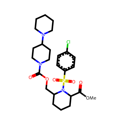 COC(=O)C1CCCC(COC(=O)N2CCC(N3CCCCC3)CC2)N1S(=O)(=O)c1ccc(Cl)cc1